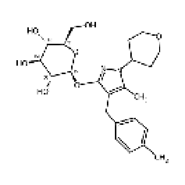 Cc1ccc(Cc2c(O[C@@H]3O[C@H](CO)[C@@H](O)[C@H](O)[C@H]3O)nn(C3CCOCC3)c2C)cc1